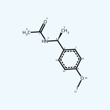 CC(=O)N[C@@H](C)c1ccc(OI)cc1